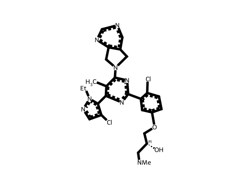 CCn1ncc(Cl)c1-c1nc(-c2cc(OC[C@H](O)CNC)ccc2Cl)nc(N2Cc3cncnc3C2)c1C